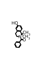 CC1(C)c2ccc(O)cc2CCN1C(=O)c1ccccc1